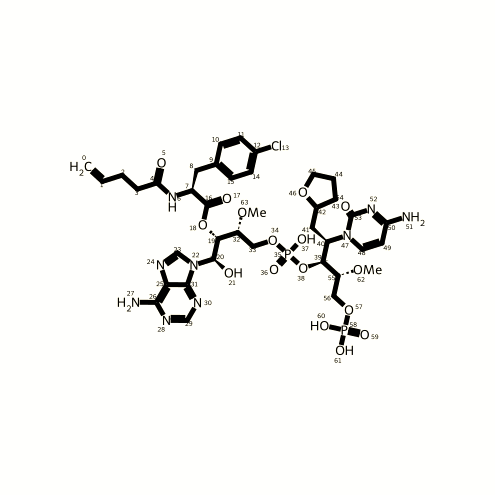 C=CCCC(=O)N[C@@H](Cc1ccc(Cl)cc1)C(=O)O[C@@H]([C@@H](O)n1cnc2c(N)ncnc21)[C@@H](COP(=O)(O)O[C@@H]([C@@H](CC1CCCO1)n1ccc(N)nc1=O)[C@@H](COP(=O)(O)O)OC)OC